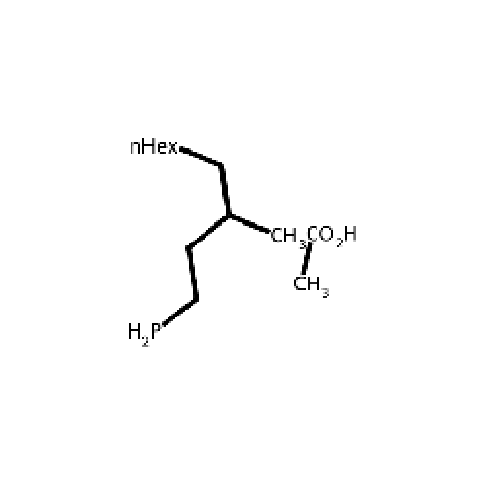 CC(=O)O.CCCCCCCC(C)CCP